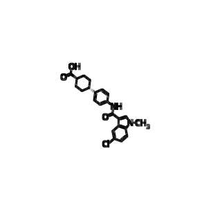 Cn1cc(C(=O)Nc2ccc([C@H]3CC[C@H](C(=O)O)CC3)cc2)c2cc(Cl)ccc21